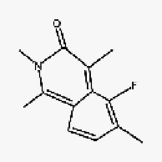 Cc1ccc2c(C)n(C)c(=O)c(C)c2c1F